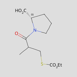 CCOC(=O)SCC(C)C(=O)N1CCC[C@H]1C(=O)O